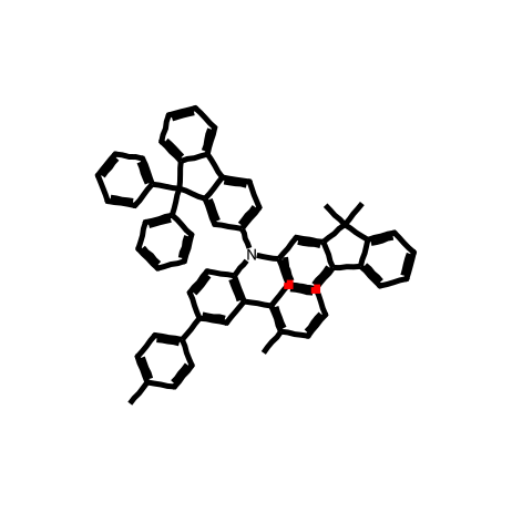 Cc1ccc(-c2ccc(N(c3ccc4c(c3)C(C)(C)c3ccccc3-4)c3ccc4c(c3)C(c3ccccc3)(c3ccccc3)c3ccccc3-4)c(-c3c(C)cccc3C)c2)cc1